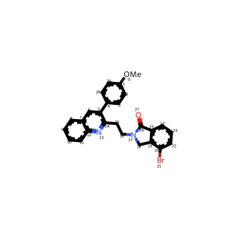 COc1ccc(-c2cc3ccccc3nc2CCN2Cc3c(Br)cccc3C2=O)cc1